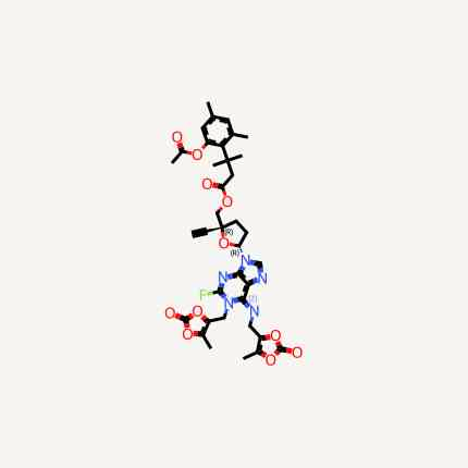 C#C[C@@]1(COC(=O)CC(C)(C)c2c(C)cc(C)cc2OC(C)=O)CC[C@H](n2cnc3/c(=N/Cc4oc(=O)oc4C)n(Cc4oc(=O)oc4C)c(F)nc32)O1